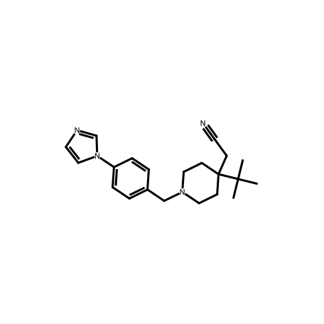 CC(C)(C)C1(CC#N)CCN(Cc2ccc(-n3ccnc3)cc2)CC1